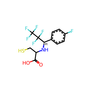 O=C(O)C(CS)N[C@H](c1ccc(F)cc1)C(F)(F)C(F)(F)F